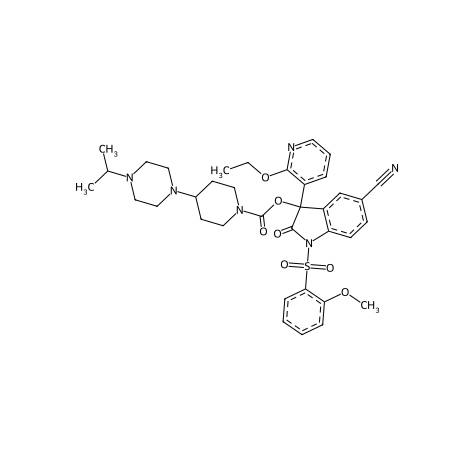 CCOc1ncccc1C1(OC(=O)N2CCC(N3CCN(C(C)C)CC3)CC2)C(=O)N(S(=O)(=O)c2ccccc2OC)c2ccc(C#N)cc21